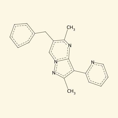 Cc1nc2c(-c3ccccn3)c(C)nn2cc1Cc1ccccc1